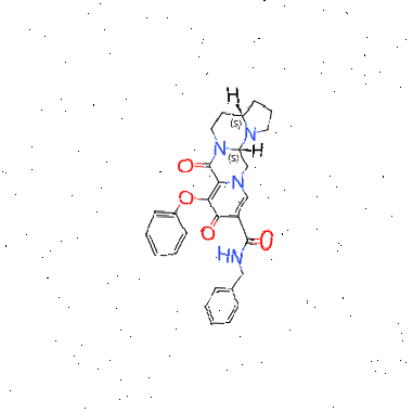 O=C(NCc1ccccc1)c1cn2c(c(Oc3ccccc3)c1=O)C(=O)N1CC[C@@H]3CCCN3[C@@H]1C2